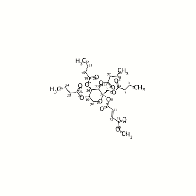 CCCC(=O)OC[C@@]1(OC(=O)/C=C/C(=O)OC)OC[C@H](OC(=O)CCC)[C@@H](OC(=O)CCC)[C@H]1OC(=O)CCC